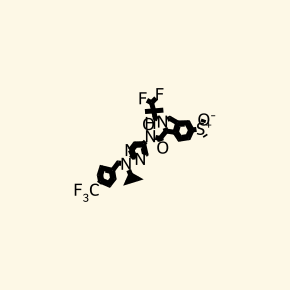 C[S+]([O-])c1ccc2c(c1)CN(C(=O)C(C)(C)C(F)F)C2C(=O)Nc1cnc(N(Cc2ccc(C(F)(F)F)cc2)C2CC2)nc1